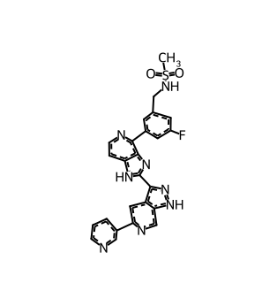 CS(=O)(=O)NCc1cc(F)cc(-c2nccc3[nH]c(-c4n[nH]c5cnc(-c6cccnc6)cc45)nc23)c1